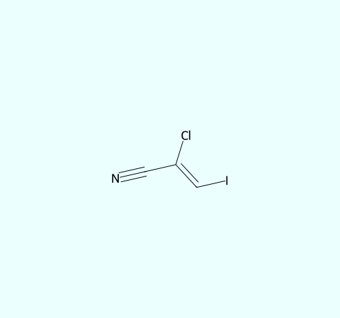 N#CC(Cl)=CI